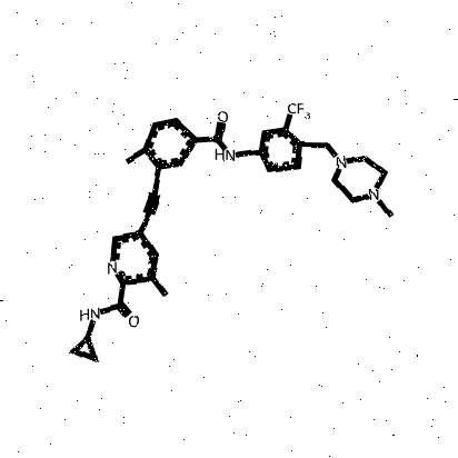 Cc1ccc(C(=O)Nc2ccc(CN3CCN(C)CC3)c(C(F)(F)F)c2)cc1C#Cc1cnc(C(=O)NC2CC2)c(C)c1